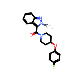 Cn1nc2ccccc2c1C(=O)N1CCC(Oc2ccc(F)cc2)CC1